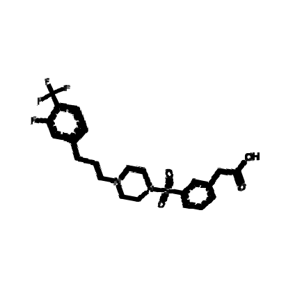 O=C(O)Cc1cccc(S(=O)(=O)N2CCN(CCCc3ccc(C(F)(F)F)c(F)c3)CC2)c1